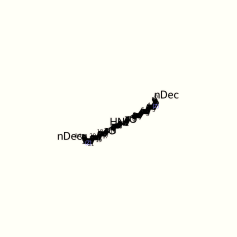 CCCCCCCCCCC/C=C\CCCCCOCCNCCOCCCCC/C=C\CCCCCCCCCCC